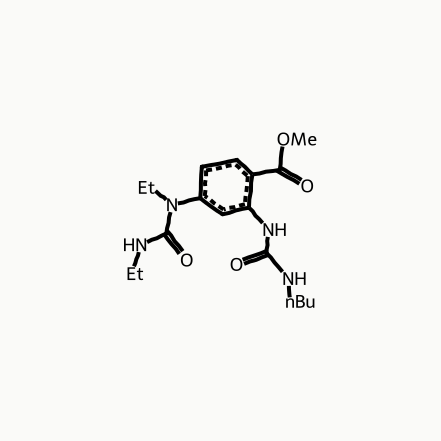 CCCCNC(=O)Nc1cc(N(CC)C(=O)NCC)ccc1C(=O)OC